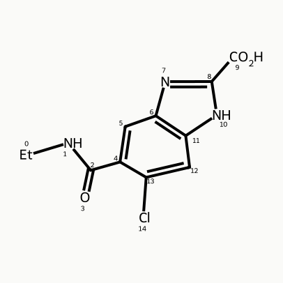 CCNC(=O)c1cc2nc(C(=O)O)[nH]c2cc1Cl